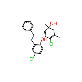 CC1=C(Cl)C=CC(C)(O)C1.Oc1ccc(Cl)cc1CCc1ccccc1